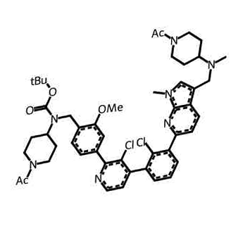 COc1cc(-c2nccc(-c3cccc(-c4ccc5c(CN(C)C6CCN(C(C)=O)CC6)cn(C)c5n4)c3Cl)c2Cl)ccc1CN(C(=O)OC(C)(C)C)C1CCN(C(C)=O)CC1